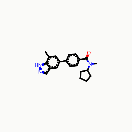 Cc1cc(-c2ccc(C(=O)N(C)C3CCCC3)cc2)cc2cn[nH]c12